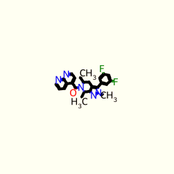 CCC1Cc2c(nn(C)c2-c2cc(F)cc(F)c2)C(CC)N1C(=O)c1ccnc2ncccc12